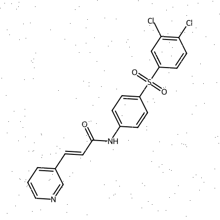 O=C(/C=C/c1cccnc1)Nc1ccc(S(=O)(=O)c2ccc(Cl)c(Cl)c2)cc1